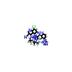 Cc1c(C(Nc2cc(Cl)c3ncc(C#N)c(NCC(C)(C)C)c3c2)c2cn(C3(C(F)F)CC3)nn2)cccc1-n1cncn1